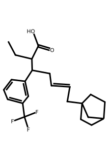 CCC(C(=O)O)C(CC=CCC12CCC(CC1)C2)c1cccc(C(F)(F)F)c1